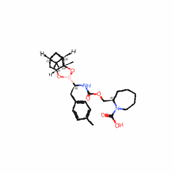 Cc1ccc(C[C@H](NC(=O)OC[C@H]2CCCCCN2C(=O)O)B2O[C@@H]3C[C@@H]4C[C@@H](C4(C)C)[C@]3(C)O2)cc1